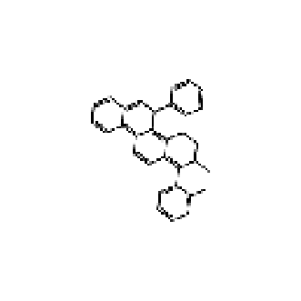 Cc1ccccc1C1=c2ccc3c(c2CCC1C)C(c1ccccc1)C=c1ccccc1=3